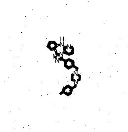 Cc1ccc(CN2CCN(Cc3ccc(-c4nnc5n4-c4cccnc4Nc4ccccc4-5)cc3)CC2)cc1